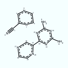 N#Cc1cnccn1.Nc1nc(N)nc(-c2cnccn2)n1